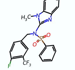 Cn1c(N(Cc2ccc(F)c(C(F)(F)F)c2)S(=O)(=O)c2ccccc2)nc2ccccc21